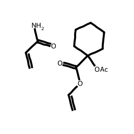 C=CC(N)=O.C=COC(=O)C1(OC(C)=O)CCCCC1